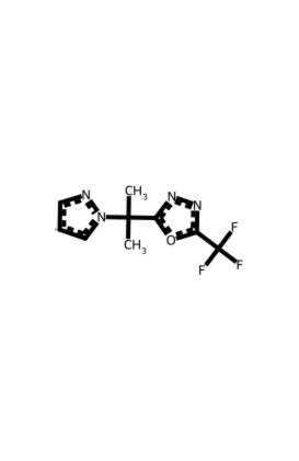 CC(C)(c1nnc(C(F)(F)F)o1)n1c[c]cn1